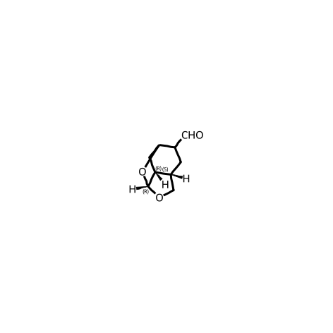 O=CC1C[C@@H]2CO[C@@H]3OC1C[C@H]23